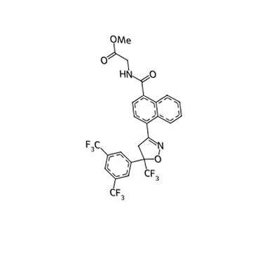 COC(=O)CNC(=O)c1ccc(C2=NOC(c3cc(C(F)(F)F)cc(C(F)(F)F)c3)(C(F)(F)F)C2)c2ccccc12